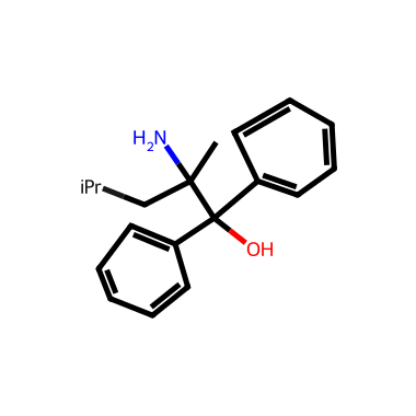 CC(C)CC(C)(N)C(O)(c1ccccc1)c1ccccc1